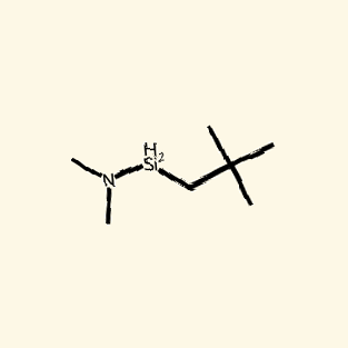 CN(C)[SiH2]CC(C)(C)C